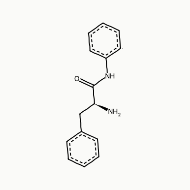 N[C@@H](Cc1ccccc1)C(=O)Nc1[c]cccc1